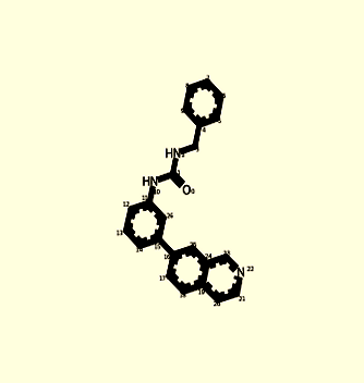 O=C(NCc1ccccc1)Nc1cccc(-c2ccc3ccncc3c2)c1